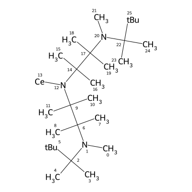 CN(C(C)(C)C(C)(C)C)C(C)(C)C(C)(C)[N]([Ce])C(C)(C)C(C)(C)N(C)C(C)(C)C(C)(C)C